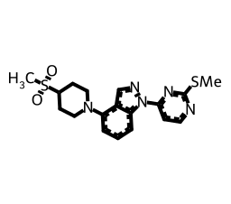 CSc1nccc(-n2ncc3c(N4CCC(S(C)(=O)=O)CC4)cccc32)n1